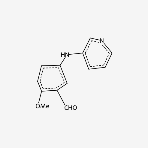 COc1ccc(Nc2cccnc2)cc1C=O